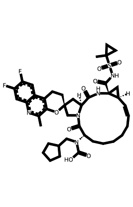 Cc1nc2cc(F)c(F)cc2c2c1O[C@]1(CC2)C[C@H]2C(=O)N[C@]3(C(=O)NS(=O)(=O)C4(C)CC4)C[C@H]3/C=C\CCCCC[C@H](N(CC3CCCC3)C(=O)O)C(=O)N2C1